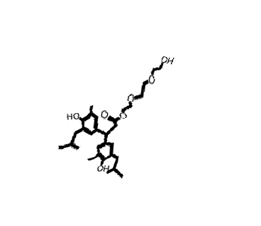 Cc1cc(C(CC(=O)OCCOCCOCCO)c2cc(C)c(O)c(CC(C)C)c2)cc(CC(C)C)c1O